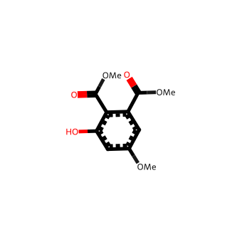 COC(=O)c1cc(OC)cc(O)c1C(=O)OC